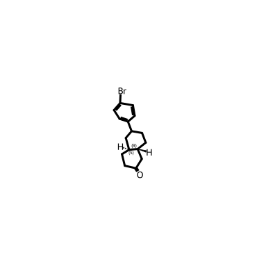 O=C1CC[C@H]2CC(c3ccc(Br)cc3)CC[C@@H]2C1